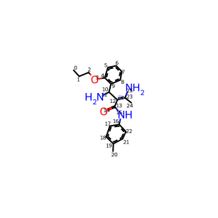 CCCOc1ccccc1C(N)/C(C(=O)Nc1ccc(C)cc1)=C(/C)N